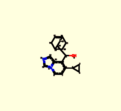 OC(c1c(C2CC2)ccn2cncc12)C1CC2=CCC1CC2